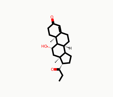 CCC(=O)[C@H]1CCC2[C@@H]3CCC4=CC(=O)CC[C@]4(C)C3[C@@H](O)C[C@@]21C